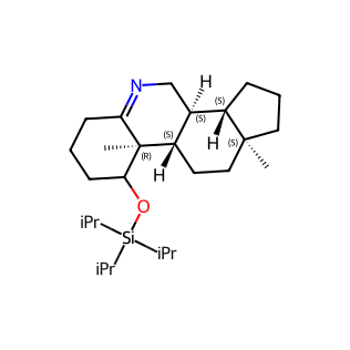 CC(C)[Si](OC1CCCC2=NC[C@H]3[C@@H]4CCC[C@@]4(C)CC[C@@H]3[C@]21C)(C(C)C)C(C)C